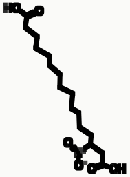 O=C(O)CCCCCCCCCCCCC(CC(=O)O)[N+](=O)[O-]